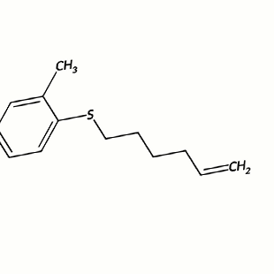 C=CCCCCSc1ccccc1C